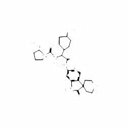 CC1CCC(C(NC(=O)N2CCC[C@H]2C)C(=O)Nc2cc3c(cn2)C2(CCOCC2)C(=O)N3)CC1